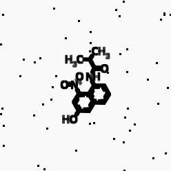 CC(C)C(=O)Nc1cccc2cc(O)cc([N+](=O)[O-])c12